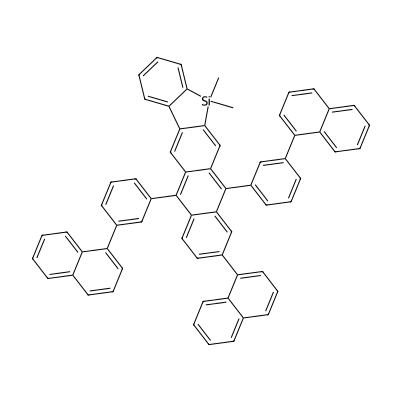 C[Si]1(C)c2ccccc2-c2cc3c(-c4cccc(-c5cccc6ccccc56)c4)c4ccc(-c5cccc6ccccc56)cc4c(-c4cccc(-c5cccc6ccccc56)c4)c3cc21